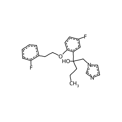 CCCC(O)(Cn1ccnc1)c1cc(F)ccc1OCCc1ccccc1F